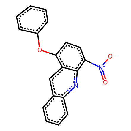 O=[N+]([O-])c1ccc(Oc2ccccc2)c2cc3ccccc3nc12